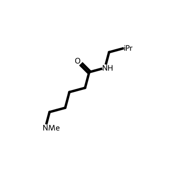 CNCCCCC(=O)NCC(C)C